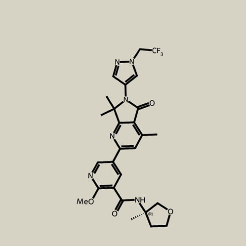 COc1ncc(-c2cc(C)c3c(n2)C(C)(C)N(c2cnn(CC(F)(F)F)c2)C3=O)cc1C(=O)N[C@]1(C)CCOC1